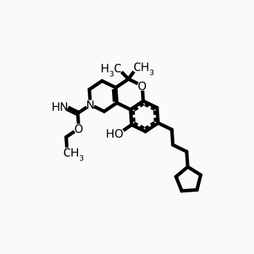 CCOC(=N)N1CCC2=C(C1)c1c(O)cc(CCCC3CCCC3)cc1OC2(C)C